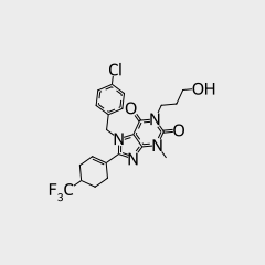 Cn1c(=O)n(CCCO)c(=O)c2c1nc(C1=CCC(C(F)(F)F)CC1)n2Cc1ccc(Cl)cc1